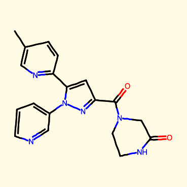 Cc1ccc(-c2cc(C(=O)N3CCNC(=O)C3)nn2-c2cccnc2)nc1